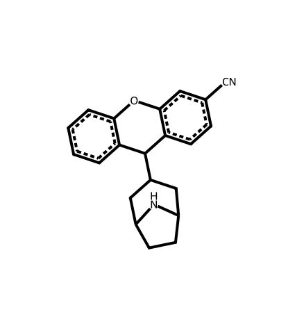 N#Cc1ccc2c(c1)Oc1ccccc1C2C1CC2CCC(C1)N2